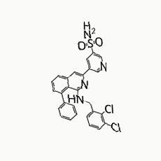 NS(=O)(=O)c1cncc(-c2cc3cccc(-c4ccccc4)c3c(NCc3cccc(Cl)c3Cl)n2)c1